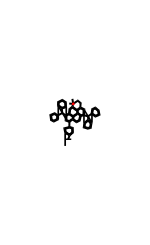 CC1(C)CCc2cc(N(c3ccccc3)c3ccccc3)c3ccc4c(-c5ccc(F)cc5)cc(N(c5ccccc5)c5ccccc5)c5cc1c2c3c45